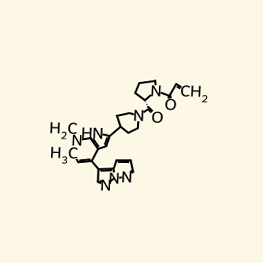 C=CC(=O)N1CCC[C@H]1C(=O)N1CCC(c2cc(/C(=C\C)c3cnn4ncccc34)c(N=C)[nH]2)CC1